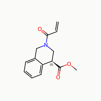 C=CC(=O)N1Cc2ccccc2[C@H](C(=O)OC)C1